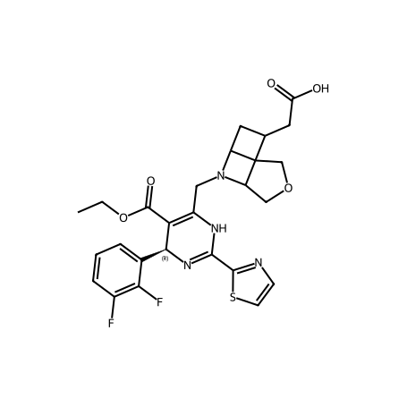 CCOC(=O)C1=C(CN2C3COCC34C(CC(=O)O)CC24)NC(c2nccs2)=N[C@H]1c1cccc(F)c1F